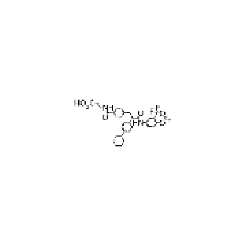 O=C(O)CCNC(=O)c1ccc(CC(C(=O)Nc2ccc3c(c2)C(F)(F)OC(F)(F)O3)c2ccc(C3CCCCC3)cc2)cc1